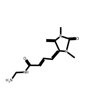 C=c1/c(=C\C=C\C(=O)NCN)n(C)c(=O)n1C